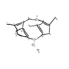 CC1=C2CCC3=C(C)C[C](=C3C)[Zr+2][C](=C2C)C1.[Cl-].[Cl-]